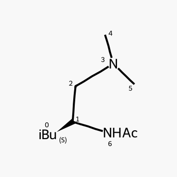 CC[C@H](C)C(CN(C)C)NC(C)=O